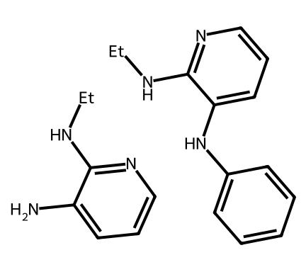 CCNc1ncccc1N.CCNc1ncccc1Nc1ccccc1